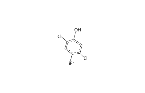 CC(C)c1cc(Cl)c(O)cc1Cl